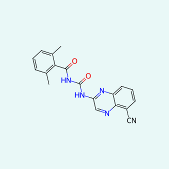 Cc1cccc(C)c1C(=O)NC(=O)Nc1cnc2c(C#N)cccc2n1